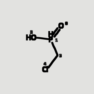 O=[PH](O)CCl